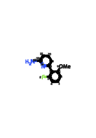 COc1cccc(F)c1-c1cccc(N)n1